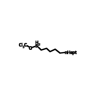 CCCCCCCCCCCC[SiH2]OC(Cl)(Cl)Cl